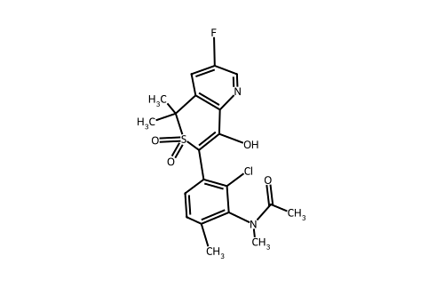 CC(=O)N(C)c1c(C)ccc(C2=C(O)c3ncc(F)cc3C(C)(C)S2(=O)=O)c1Cl